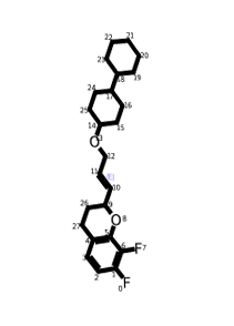 Fc1ccc2c(c1F)OC(/C=C/COC1CCC(C3CCCCC3)CC1)CC2